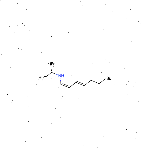 CCC(C)CCC=C/C=C\NC(C)C(C)C